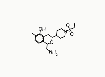 CCS(=O)(=O)N1CCC(C2Cc3c(ccc(C)c3O)C(CN)O2)CC1